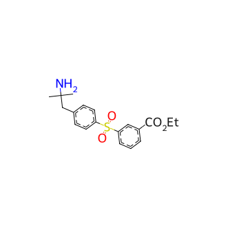 CCOC(=O)c1cccc(S(=O)(=O)c2ccc(CC(C)(C)N)cc2)c1